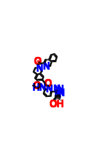 COc1cc2c(cc1C(=O)Nc1cccc(-c3nnnn3[C@H](C)CO)n1)CN(C(=O)c1cc3ccccc3cn1)CC2